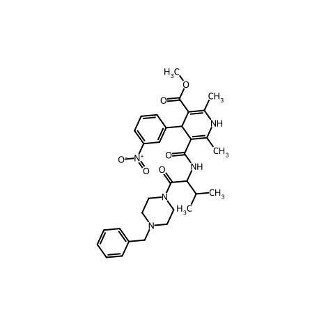 COC(=O)C1=C(C)NC(C)=C(C(=O)NC(C(=O)N2CCN(Cc3ccccc3)CC2)C(C)C)C1c1cccc([N+](=O)[O-])c1